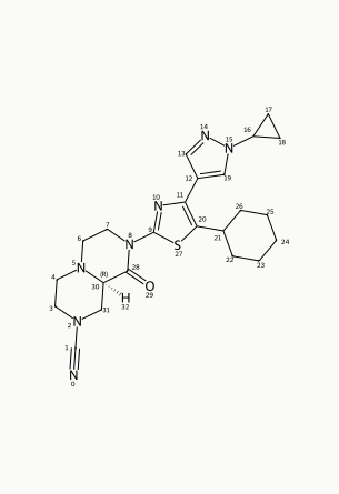 N#CN1CCN2CCN(c3nc(-c4cnn(C5CC5)c4)c(C4CCCCC4)s3)C(=O)[C@H]2C1